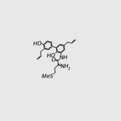 C=CCc1cc(NC(=O)[C@@H](N)CCSC)c(O)c(-c2ccc(O)c(CC=C)c2)c1